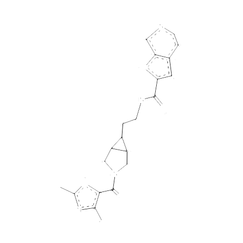 Cc1nc(C)c(C(=O)N2CC3C(CCNC(=O)c4cc5ccncc5s4)C3C2)o1